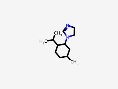 CC1CCC(C(C)C)C(N2C=NCC2)C1